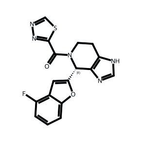 O=C(c1nncs1)N1CCc2[nH]cnc2[C@@H]1c1cc2c(F)cccc2o1